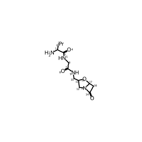 CC(C)C(N)C(=O)NCC(=O)NCC1CN2C(=O)CC2O1